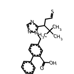 CC(C)(C)C(CC=S)c1ncnn1Cc1ccc(-c2ccccc2)c(C(=O)O)c1